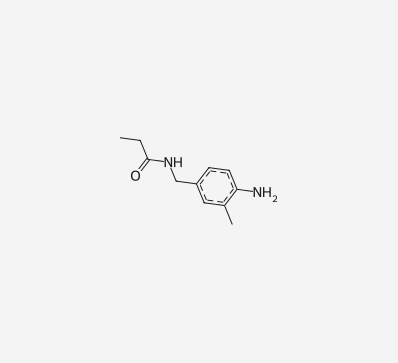 CCC(=O)NCc1ccc(N)c(C)c1